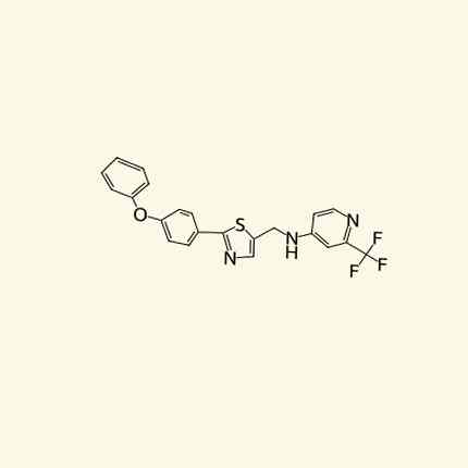 FC(F)(F)c1cc(NCc2cnc(-c3ccc(Oc4ccccc4)cc3)s2)ccn1